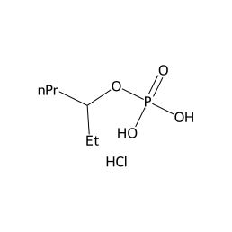 CCCC(CC)OP(=O)(O)O.Cl